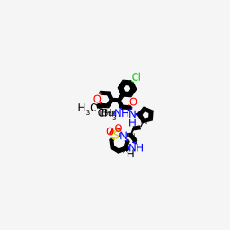 CCC(C)NC(C(=O)N[C@H]1CCC[C@@H]1CC[C@H]1CN[C@@H]2CCCS(=O)(=O)N1C2)C(c1ccc(Cl)cc1)C1CCOC(C)(C)C1